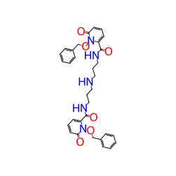 O=C(NCCCNCCCNC(=O)c1cccc(=O)n1OCc1ccccc1)c1cccc(=O)n1OCc1ccccc1